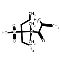 C=C(C)C(=O)[N+](C)(C)C(CC)(CCC)S(=O)(=O)O